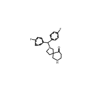 O=C1CCNCC12CCN(C(c1ccc(F)cc1)c1ccc(F)cc1)C2